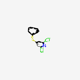 Clc1cc(Sc2ccccc2)cc(Cl)n1